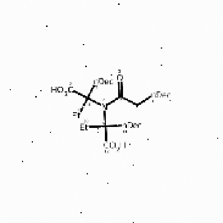 CCCCCCCCCCCC(=O)N(C(CC)(CCCCCCCCCC)C(=O)O)C(CC)(CCCCCCCCCC)C(=O)O